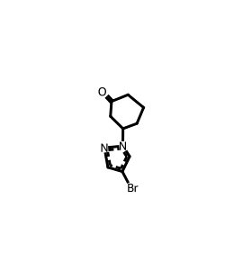 O=C1CCCC(n2cc(Br)cn2)C1